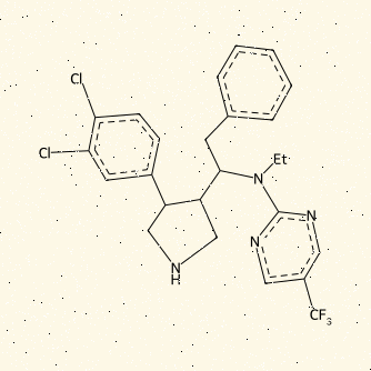 CCN(c1ncc(C(F)(F)F)cn1)C(Cc1ccccc1)C1CNCC1c1ccc(Cl)c(Cl)c1